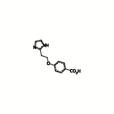 O=C(O)c1ccc(OCCc2ncc[nH]2)cc1